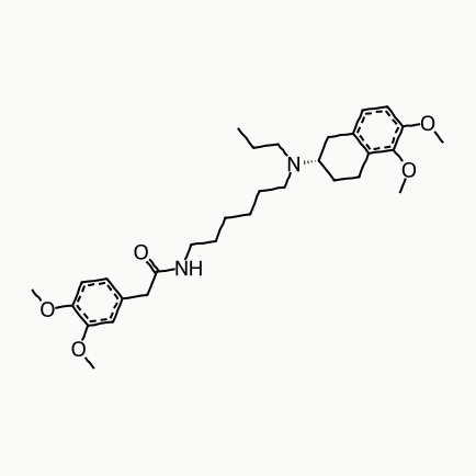 CCCN(CCCCCCNC(=O)Cc1ccc(OC)c(OC)c1)[C@H]1CCc2c(ccc(OC)c2OC)C1